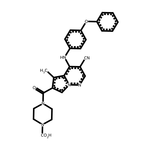 Cc1c(C(=O)N2CCN(C(=O)O)CC2)cn2ncc(C#N)c(Nc3ccc(Oc4ccccc4)cc3)c12